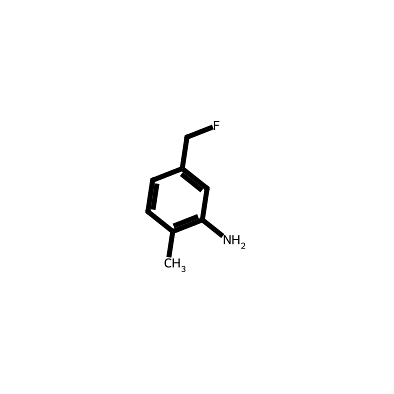 Cc1ccc(CF)cc1N